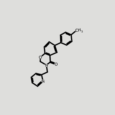 Cc1ccc(-c2ccc3c(c2)C(=O)N(Cc2ccccn2)CO3)cc1